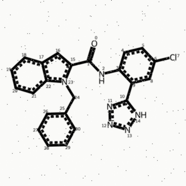 O=C(Nc1ccc(Cl)cc1-c1nnn[nH]1)c1cc2ccccc2n1Cc1ccccc1